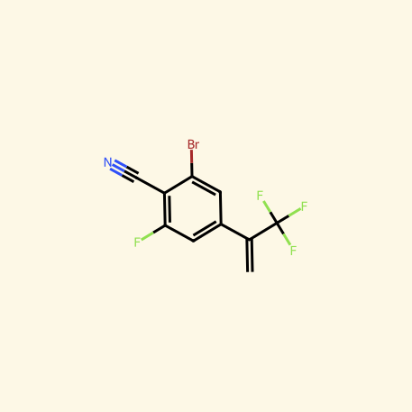 C=C(c1cc(F)c(C#N)c(Br)c1)C(F)(F)F